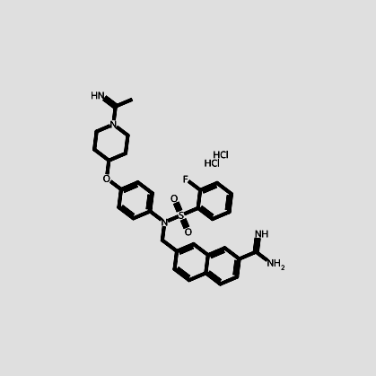 CC(=N)N1CCC(Oc2ccc(N(Cc3ccc4ccc(C(=N)N)cc4c3)S(=O)(=O)c3ccccc3F)cc2)CC1.Cl.Cl